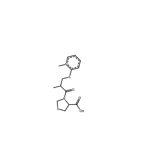 CC(CSc1cccc[n+]1C)C(=O)N1CSCC1C(=O)O